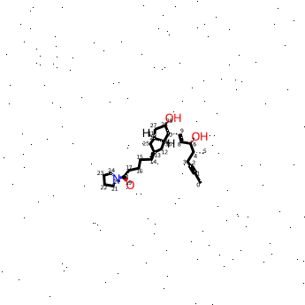 CC#CC[C@@H](C)[C@H](O)C=C[C@@H]1[C@H]2CC(=CCCCC(=O)N3CCCC3)C[C@H]2C[C@H]1O